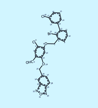 O=Cc1cc(Cl)c(OCc2cccc(-c3cccc(Cl)c3)c2Br)cc1OCc1ccc2nonc2c1